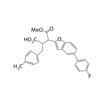 COC(=O)C(c1cc2cc(-c3ccc(F)cc3)ccc2o1)C(Cc1ccc(C)cc1)C(=O)O